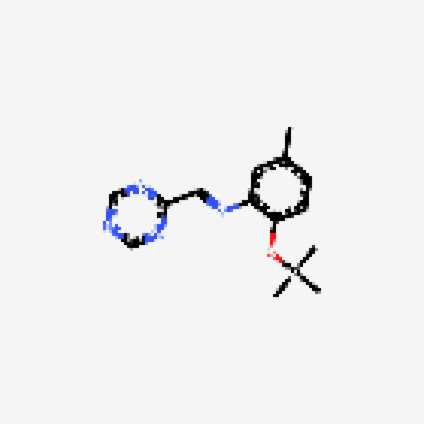 Cc1ccc(O[Si](C)(C)C)c(N=Cc2ncncn2)c1